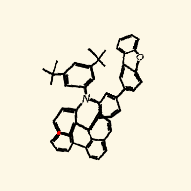 CC(C)(C)c1cc(N(c2cccc(-c3ccc4oc5ccccc5c4c3)c2)c2ccccc2-c2cccc3cccc(-c4ccccc4)c23)cc(C(C)(C)C)c1